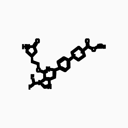 CC(C)(C)OC(=O)N1CCN(c2ccc(-c3cc4ncn(C(F)F)c4c(OCC[C@H]4CNC(=O)C4)n3)cc2)CC1